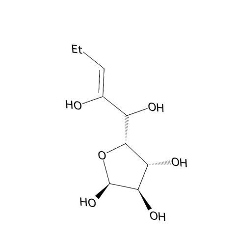 CCC=C(O)C(O)[C@H]1O[C@H](O)[C@H](O)[C@H]1O